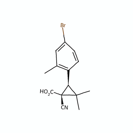 Cc1cc(Br)ccc1[C@H]1C(C)(C)[C@]1(C#N)C(=O)O